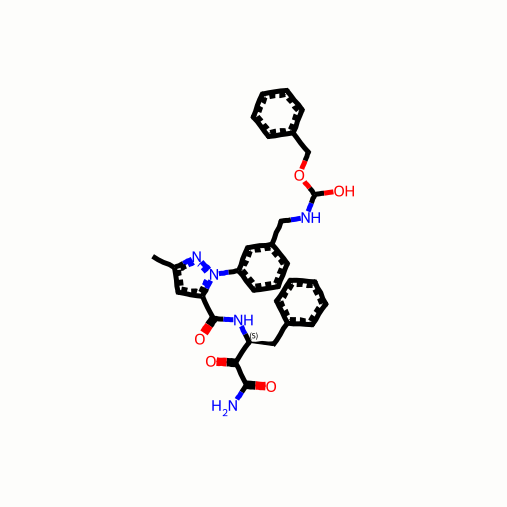 Cc1cc(C(=O)N[C@@H](Cc2ccccc2)C(=O)C(N)=O)n(-c2cccc(CNC(O)OCc3ccccc3)c2)n1